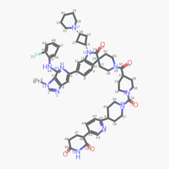 CC(C)n1cnc2cc(-c3ccc4c(c3)N([C@H]3C[C@@H](N5CCCCC5)C3)C(=O)C43CCN(C(=O)C4CCN(C(=O)N5CCC(c6ccc(C7CCC(=O)NC7=O)cn6)CC5)CC4)CC3)nc(Nc3ccccc3F)c21